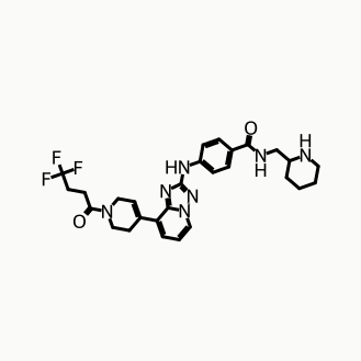 O=C(NCC1CCCCN1)c1ccc(Nc2nc3c(C4=CCN(C(=O)CCC(F)(F)F)CC4)cccn3n2)cc1